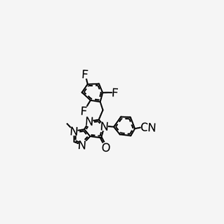 Cn1cnc2c(=O)n(-c3ccc(C#N)cc3)c(Cc3c(F)cc(F)cc3F)nc21